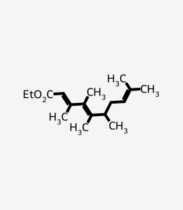 CCOC(=O)/C=C(C)/C(C)=C(\C)C(C)CC=C(C)C